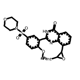 CCCCCC1OC1c1cccc2c(=O)[nH]c(-c3cc(S(=O)(=O)N4CCOCC4)ccc3OCCC)nc12